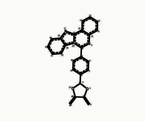 C=C1OB(c2ccc(-c3nc4ccccc4c4nc5ccccc5n34)cc2)OC1=C